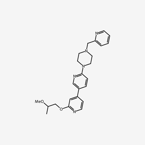 COC(C)COc1cc(-c2ccc(N3CCN(Cc4ccccn4)CC3)nc2)ccn1